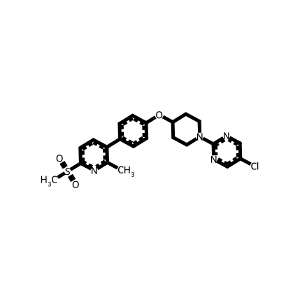 Cc1nc(S(C)(=O)=O)ccc1-c1ccc(OC2CCN(c3ncc(Cl)cn3)CC2)cc1